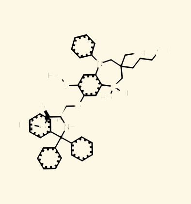 CCCCC1(CC)CN(c2ccccc2)c2cc(SC)c(OC[C@@H](NC(c3ccccc3)(c3ccccc3)c3ccccc3)C(=O)OC)cc2S(O)(O)C1